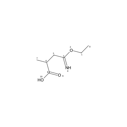 CCOC(=N)CC(C)C(=O)O